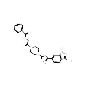 Cc1nn(C)c2cc(-c3noc(N4CCN(C(=O)CNC(=O)c5ccccc5)CC4)n3)ccc12